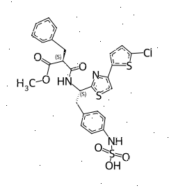 COC(=O)[C@@H](Cc1ccccc1)C(=O)N[C@@H](Cc1ccc(NS(=O)(=O)O)cc1)c1nc(-c2ccc(Cl)s2)cs1